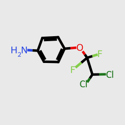 Nc1ccc(OC(F)(F)C(Cl)Cl)cc1